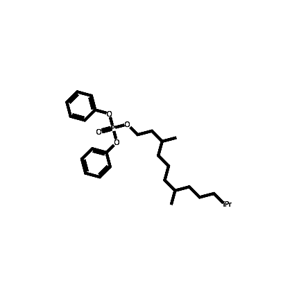 CC(C)CCCC(C)CCCC(C)CCOP(=O)(Oc1ccccc1)Oc1ccccc1